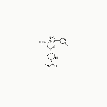 CN(C)C(=O)C1CCC(c2cc(N)n3ncc(-c4ccn(C)c4)c3n2)CN1